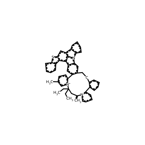 C=C1CC(CC)(CC)[n+]2cc(C)ccc2-c2cc3c4c5c(cc6c7ccccc7n(c3cc2CCc2ccccc2-c2cccc[n+]21)c64)sc1ccccc15